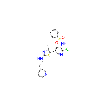 Cc1nc(NCCc2cccnc2)sc1-c1cnc(Cl)c(NS(=O)(=O)c2ccccc2)c1